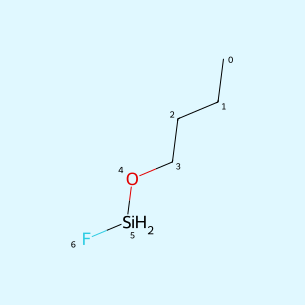 CCCCO[SiH2]F